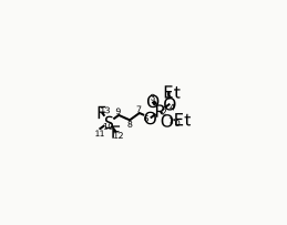 CCOP(=O)(OCC)OCCCS(C)(F)F